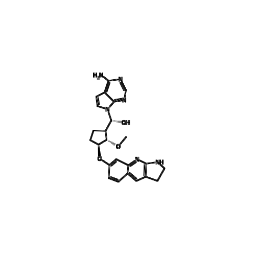 CO[C@H]1C([C@@H](O)n2ccc3c(N)ncnc32)CC[C@@H]1Oc1ccc2cc3c(nc2c1)NCC3